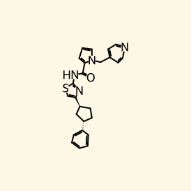 O=C(Nc1nc([C@H]2CC[C@H](c3ccccc3)C2)cs1)c1cccn1Cc1ccncc1